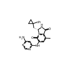 CCCC1(C[C@@H]2NC(=O)c3c(C)cc(Nc4cc(N)ncn4)c(=O)n32)CC1